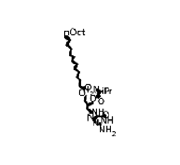 CCCCCCCCC=CCCCCCCCCCCCC(=O)OCCC(COC(=O)[C@@H](N)C(C)C)Cc1nc2nc(N)[nH]c(=O)c2[nH]1